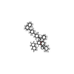 c1cc(-c2cccc3ccccc23)cc(N(c2ccc(-c3ccc(-c4cccc5ccccc45)cc3)cc2)c2ccccc2-c2ccc3oc4ccccc4c3c2)c1